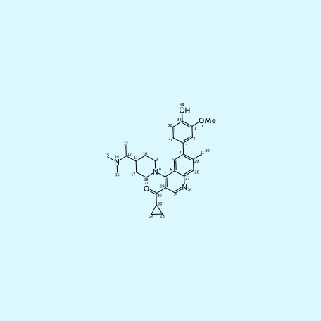 COc1cc(-c2cc3c(N4CCC(C(C)N(C)C)CC4)c(C(=O)C4CC4)cnc3cc2F)ccc1O